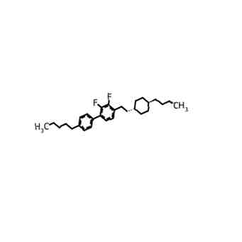 CCCCCc1ccc(-c2ccc(CC[C@H]3CC[C@H](CCCC)CC3)c(F)c2F)cc1